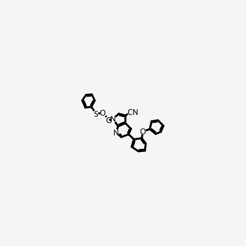 N#Cc1cn(OOSc2ccccc2)c2ncc(-c3ccccc3Oc3ccccc3)cc12